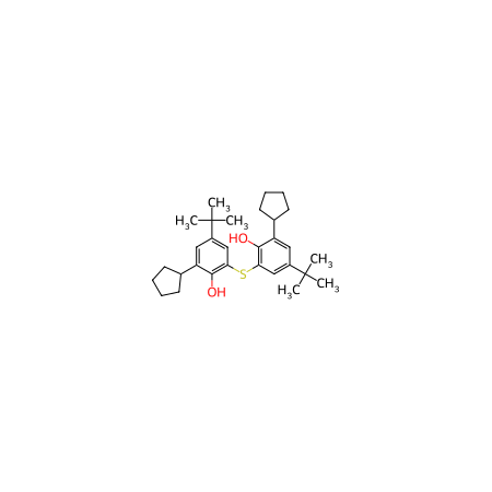 CC(C)(C)c1cc(Sc2cc(C(C)(C)C)cc(C3CCCC3)c2O)c(O)c(C2CCCC2)c1